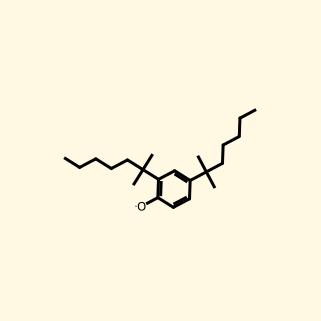 CCCCCC(C)(C)c1ccc([O])c(C(C)(C)CCCCC)c1